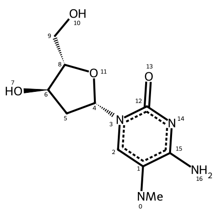 CNc1cn([C@@H]2C[C@@H](O)[C@H](CO)O2)c(=O)nc1N